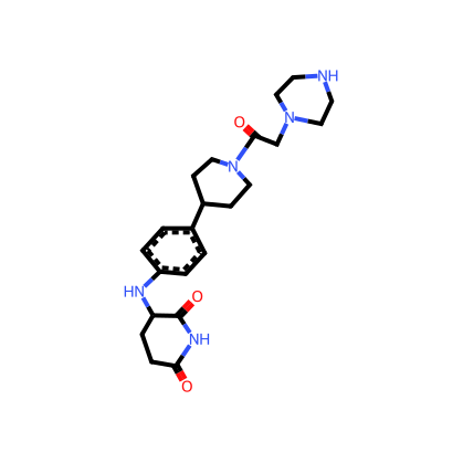 O=C1CCC(Nc2ccc(C3CCN(C(=O)CN4CCNCC4)CC3)cc2)C(=O)N1